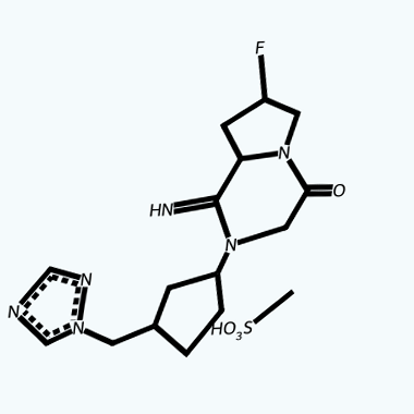 CS(=O)(=O)O.N=C1C2CC(F)CN2C(=O)CN1C1CCC(Cn2cncn2)C1